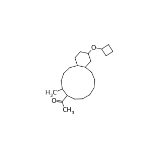 CC(=O)C1CCCCCCC2CC(OC3CCC3)CCC2CCCC1C